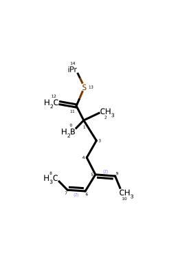 BC(C)(CCC(/C=C\C)=C/C)C(=C)SC(C)C